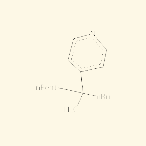 CCCCCC(C)(CCCC)c1ccncc1